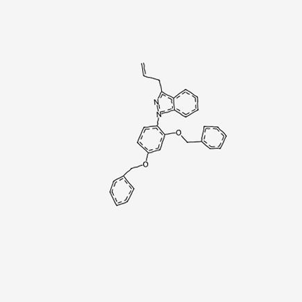 C=CCc1nn(-c2ccc(OCc3ccccc3)cc2OCc2ccccc2)c2ccccc12